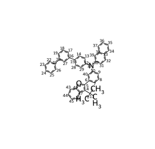 CC(C)(C)c1c(-c2cccc(N(c3ccc(-c4cccc(-c5ccccc5)c4)cc3)c3ccc4ccccc4c3)c2)oc2ccccc12